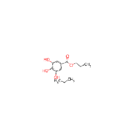 CCC.CCCOC(=O)c1cc(O)c(O)c(O)c1